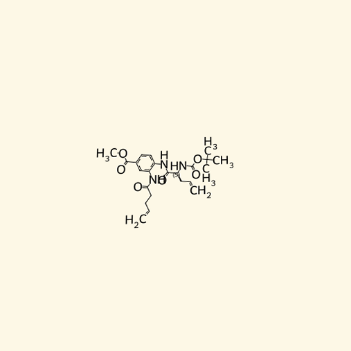 C=CCCC(=O)Nc1cc(C(=O)OC)ccc1NC(=O)[C@H](CC=C)NC(=O)OC(C)(C)C